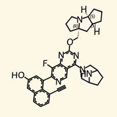 C#Cc1cccc2cc(O)cc(-c3ncc4c(N5CC6CCC(C5)N6)nc(OC[C@]56CCCN5[C@H]5CCC[C@H]5C6)nc4c3F)c12